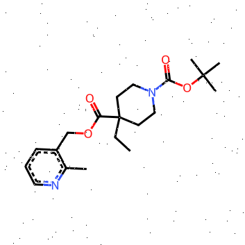 CCC1(C(=O)OCc2cccnc2C)CCN(C(=O)OC(C)(C)C)CC1